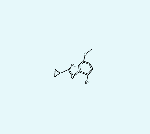 COc1ccc(Br)c2oc(C3CC3)nc12